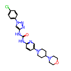 O=C(Nc1ccc(N2CCC(N3CCOCC3)CC2)cn1)Nc1cn(-c2ccc(Cl)cc2)nn1